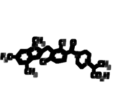 Cc1cc(C(F)(F)F)cc2c1cc(Cc1c(Cl)ccc(C(=O)N3CCN(C(C)C(=O)O)CC3)c1Cl)n2C